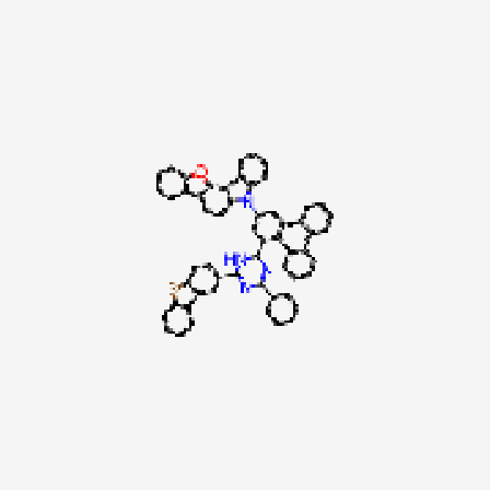 c1ccc(C2=NC(c3cc(-n4c5ccccc5c5c6oc7ccccc7c6ccc54)cc4c5ccccc5c5ccccc5c34)NC(c3ccc4sc5ccccc5c4c3)=N2)cc1